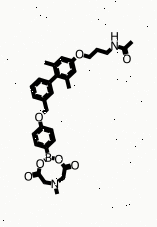 CC(=O)NCCCOc1cc(C)c(-c2cccc(COc3ccc(B4OC(=O)CN(C)CC(=O)O4)cc3)c2)c(C)c1